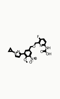 COc1c(-c2ccn(C3CC3)n2)cc(COCc2nc(NC(=O)O)ccc2F)cc1[N+](=O)[O-]